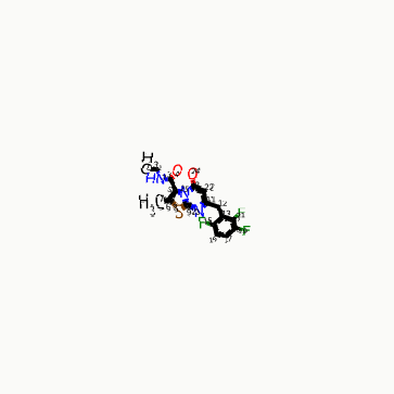 CCNC(=O)c1c(C)sc2nc(Cc3c(F)ccc(F)c3F)cc(=O)n12